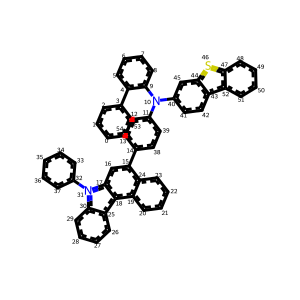 c1ccc(-c2ccccc2N(c2ccc(-c3cc4c(c5ccccc35)c3ccccc3n4-c3ccccc3)cc2)c2ccc3c(c2)sc2ccccc23)cc1